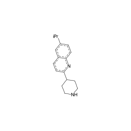 CC(C)c1ccc2nc(C3CCNCC3)ccc2c1